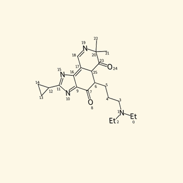 CCN(CC)CCCC1C(=O)C2=NC(C3CC3)=NC2=C2C=NC(C)(C)C(=O)C21